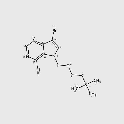 C[Si](C)(C)CCOCn1cc(Br)c2ncnc(Cl)c21